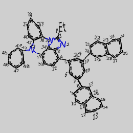 CCc1nc2c(-c3cc(-c4ccc5ccccc5c4)cc(-c4ccc5ccccc5c4)c3)ccc3c2n1-c1ccccc1N3c1ccccc1